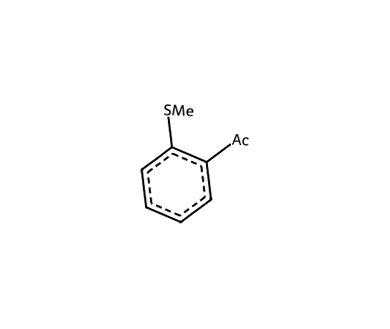 [CH2]C(=O)c1ccccc1SC